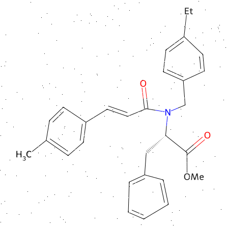 CCc1ccc(CN(C(=O)C=Cc2ccc(C)cc2)[C@@H](Cc2ccccc2)C(=O)OC)cc1